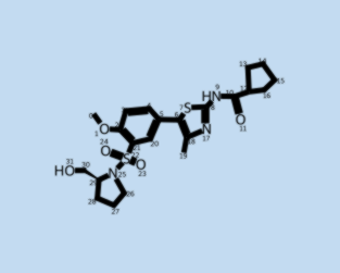 COc1ccc(-c2sc(NC(=O)C3CCCC3)nc2C)cc1S(=O)(=O)N1CCC[C@H]1CO